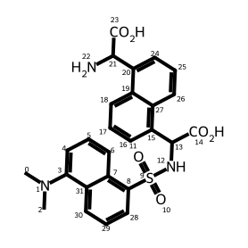 CN(C)c1cccc2c(S(=O)(=O)NC(C(=O)O)c3cccc4c(C(N)C(=O)O)cccc34)cccc12